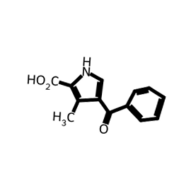 Cc1c(C(=O)c2ccccc2)c[nH]c1C(=O)O